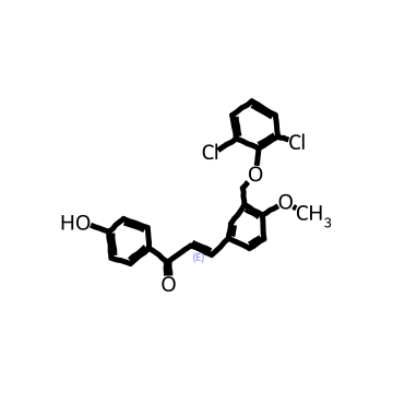 COc1ccc(/C=C/C(=O)c2ccc(O)cc2)cc1COc1c(Cl)cccc1Cl